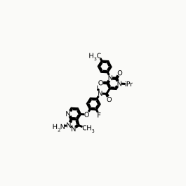 Cc1ccc(-n2c(=O)c(C(=O)N(I)c3ccc(Oc4ccnc5c4c(C)nn5N)c(F)c3)cn(C(C)C)c2=O)cc1